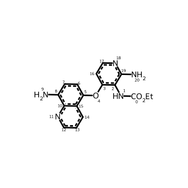 CCOC(=O)Nc1c(Oc2ccc(N)c3ncccc23)ccnc1N